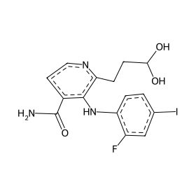 NC(=O)c1ccnc(CCC(O)O)c1Nc1ccc(I)cc1F